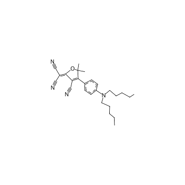 CCCCCN(CCCCC)c1ccc(C2=C(C#N)C(=C(C#N)C#N)OC2(C)C)cc1